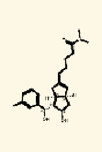 Cc1cccc([C@H](O)[C@@H]2[C@H]3CC(CCCCC(=O)N(C)C)=C[C@H]3C[C@H]2O)c1